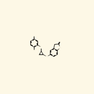 O=C1Cc2cc(NC3CC3Nc3cc(Cl)ccc3O)ccc2N1